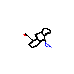 Nc1c2ccccc2cc2c(C=O)cccc12